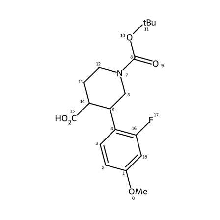 COc1ccc(C2CN(C(=O)OC(C)(C)C)CCC2C(=O)O)c(F)c1